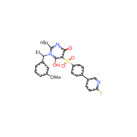 CCCCc1nc(=O)c(S(=O)(=O)c2ccc(-c3ccc(F)nc3)cc2)c(O)n1C(CC)c1cccc(OC)c1